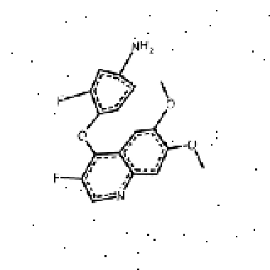 COc1cc2ncc(F)c(Oc3ccc(N)cc3F)c2cc1OC